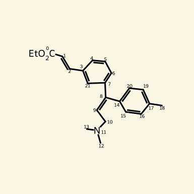 CCOC(=O)C=Cc1cccc(C(=CCN(C)C)c2ccc(C)cc2)c1